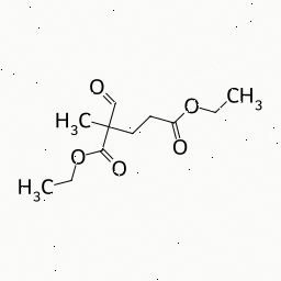 CCOC(=O)CCC(C)(C=O)C(=O)OCC